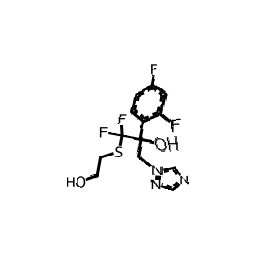 OCCSC(F)(F)C(O)(Cn1cncn1)c1ccc(F)cc1F